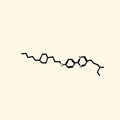 CCCCCC1CCC(CCCOc2ccc(-c3ncc(CCCC(C)CC)cn3)cc2)CC1